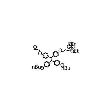 CCCCOc1ccc(C(c2ccc(OCCCC)cc2)C(c2ccc(OCCC[Si](OCC)(OCC)OCC)cc2)c2ccc(OCC3CO3)cc2)cc1